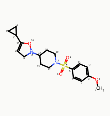 COc1ccc(S(=O)(=O)N2CCC(N3CC=C(C4CC4)O3)CC2)cc1